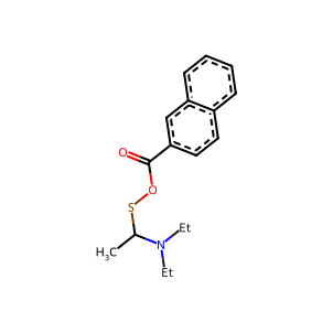 CCN(CC)C(C)SOC(=O)c1ccc2ccccc2c1